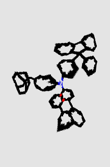 c1ccc(-c2cccc3cccc(-c4ccc(N(c5ccc(C67CC8CC(CC(C8)C6)C7)cc5)c5ccc(C6(c7ccccc7)c7ccccc7-c7ccccc76)cc5)cc4)c23)cc1